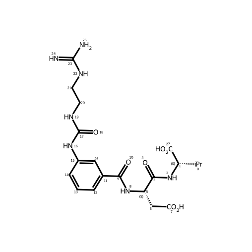 CC(C)[C@H](NC(=O)[C@H](CC(=O)O)NC(=O)c1cccc(NC(=O)NCCNC(=N)N)c1)C(=O)O